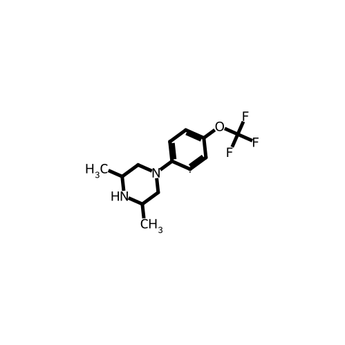 CC1CN(c2[c]cc(OC(F)(F)F)cc2)CC(C)N1